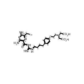 N=C(NCCCCc1ccc(OCCN(CC(=O)O)CC(=O)O)cc1)NC(=O)c1nc(CI)c(N)nc1N